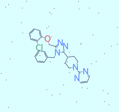 Clc1ccccc1OCc1nnc(C2CCN(c3ncccn3)CC2)n1Cc1ccccc1